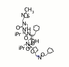 Cc1nc(CN2CCN([C@H](C(=O)N[C@@H](Cc3ccccc3)[C@H](O)CN(CC(C)C)S(=O)(=O)c3ccc(/C=N\OCc4ccccc4)o3)C(C)C)C2=O)cs1